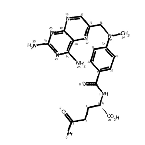 CC(C)C(=O)CC[C@H](NC(=O)c1ccc(N(C)Cc2cnc3nc(N)nc(N)c3n2)cc1)C(=O)O